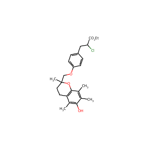 CCOC(=O)C(Cl)Cc1ccc(OCC2(C)CCc3c(C)c(O)c(C)c(C)c3O2)cc1